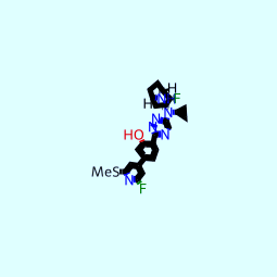 CSc1cc(-c2ccc(-c3ncc(N(C4CC4)[C@H]4C[C@@H]5CC[C@@H](N5)[C@H]4F)nn3)c(O)c2)cc(F)n1